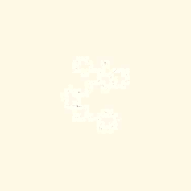 C[N+]1(CCc2ncccn2)CCC[C@@H]1COC(=O)C(O)(c1ccccc1)C1CCCC1